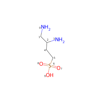 NCC(N)CCS(=O)(=O)O